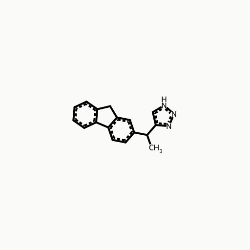 CC(c1ccc2c(c1)Cc1ccccc1-2)c1c[nH]nn1